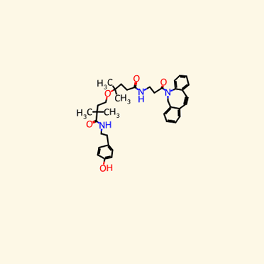 CC(C)(CCC(=O)NCCC(=O)N1Cc2ccccc2C#Cc2ccccc21)OCCC(C)(C)C(=O)NCCc1ccc(O)cc1